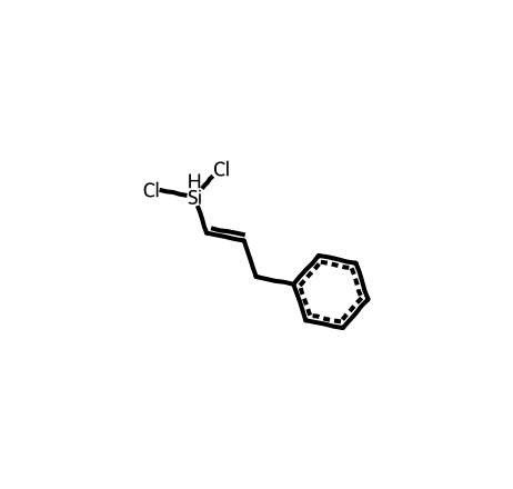 Cl[SiH](Cl)C=CCc1ccccc1